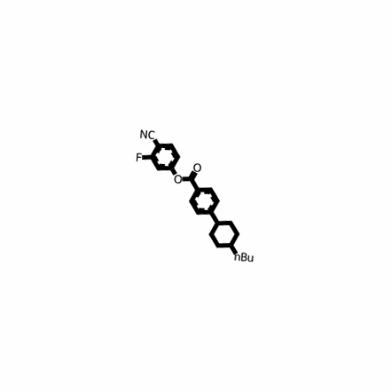 CCCCC1CCC(c2ccc(C(=O)Oc3ccc(C#N)c(F)c3)cc2)CC1